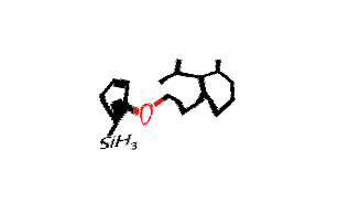 CC(C)C1C(C)CCCC1CCOC1=C([SiH3])CC=C1